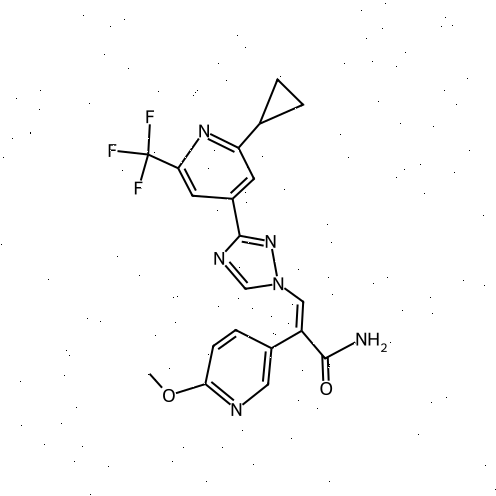 COc1ccc(/C(=C\n2cnc(-c3cc(C4CC4)nc(C(F)(F)F)c3)n2)C(N)=O)cn1